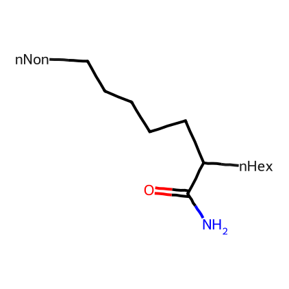 CCCCCCCCCCCCCCC(CCCCCC)C(N)=O